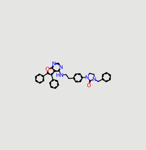 O=C1N(Cc2ccccc2)CCN1c1ccc(CCNc2ncnc3oc(-c4ccccc4)c(-c4ccccc4)c23)cc1